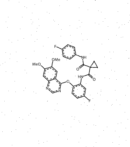 COc1cc2ncnc(Oc3ccc(F)cc3NC(=O)C3(C(=O)Nc4ccc(F)cc4)CC3)c2cc1OC